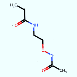 CCC(=O)NCCO[N]C(C)=O